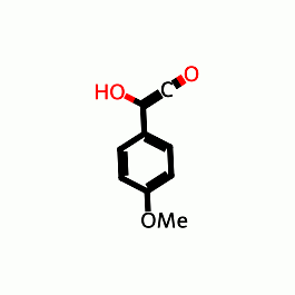 COc1ccc(C(O)=C=O)cc1